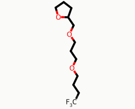 FC(F)(F)CCCOCCCOCC1CCCO1